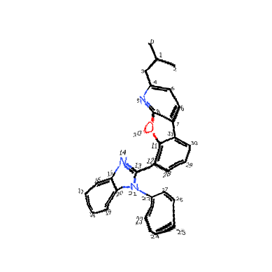 CC(C)Cc1ccc2c(n1)oc1c(-c3nc4ccccc4n3-c3ccccc3)cccc12